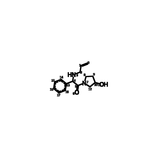 C=CCNC(C(=O)N1CCC(O)C1)c1ccccc1